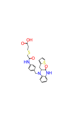 O=C(O)CCSCC(=O)Nc1ccc(CN2c3ccccc3NC(=O)C2Cc2cccs2)cc1